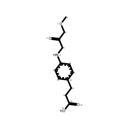 COCC(=O)CNc1ccc(CCC(=O)O)cc1